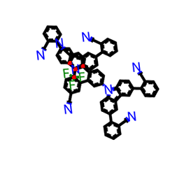 N#Cc1ccc(-n2c3ccc(-c4ccccc4C#N)cc3c3cc(-c4ccccc4C#N)ccc32)c(-c2cc(-n3c4ccc(-c5ccccc5C#N)cc4c4cc(-c5ccccc5C#N)ccc43)ccc2-c2ccc(C#N)cc2C(F)(F)F)c1